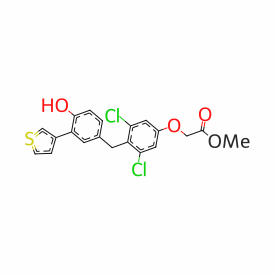 COC(=O)COc1cc(Cl)c(Cc2ccc(O)c(-c3ccsc3)c2)c(Cl)c1